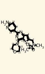 CN(Cc1cc2nc(-c3ccc(N)nc3)nc(N3CCOCC3)c2s1)S(C)(=O)=O